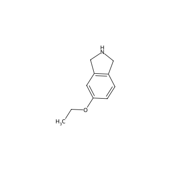 CCOc1ccc2c(c1)CNC2